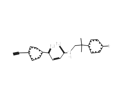 C#Cc1ccc(C(=N)/C=C\C(=N)NCC(C)(C)c2ccc(F)cc2)cc1